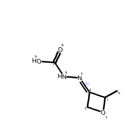 CC1OC/C1=N\NC(=O)O